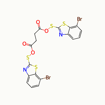 O=C(CCC(=O)OSc1nc2cccc(Br)c2s1)OSc1nc2cccc(Br)c2s1